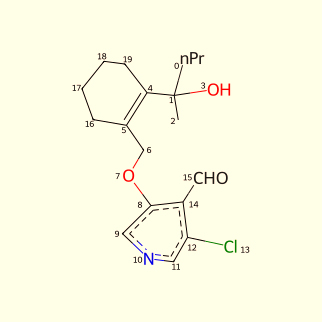 CCCC(C)(O)C1=C(COc2cncc(Cl)c2C=O)CCCC1